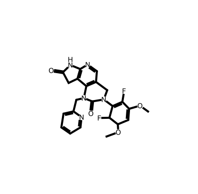 COC1=CC(OC)C(F)C(N2Cc3cnc4c(c3N(Cc3ccccn3)C2=O)CC(=O)N4)=C1F